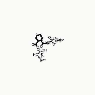 O=C([O-])c1ccccc1C(=O)[O-].O=P([O-])(O)O.O=P([O-])(O)O.[Na+].[Na+].[Na+].[Na+]